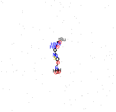 CC(C)(C)c1cc(NC(=O)Nc2ccc(-c3cn4c(n3)sc3cc(OCCCN5C[C@@H]6OCCO[C@H]6C5)ccc34)cc2)no1